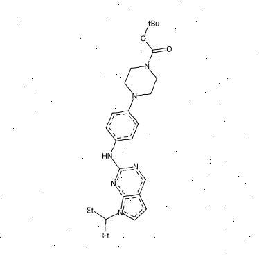 CCC(CC)n1ccc2cnc(Nc3ccc(N4CCN(C(=O)OC(C)(C)C)CC4)cc3)nc21